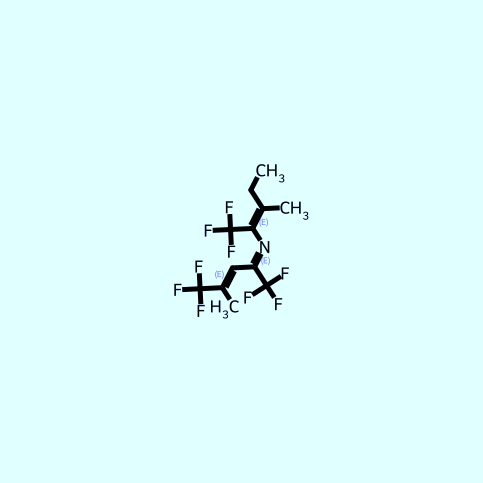 CC/C(C)=C(/N=C(\C=C(/C)C(F)(F)F)C(F)(F)F)C(F)(F)F